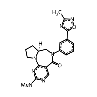 CNc1ncc2c(n1)N1CCC[C@H]1CN(c1cccc(-c3nc(C)no3)c1)C2=O